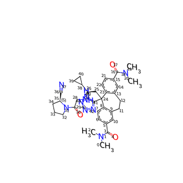 CN(C)C(=O)c1ccc2c(c1)CCc1cc(C(=O)N(C)C)ccc1C2(C[C@@H](NCC(=O)N1CCC[C@H]1C#N)C1CC1)c1nnn[nH]1